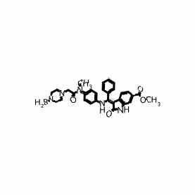 BN1CCN(CC(=O)N(C)c2ccc(N/C(=C3\C(=O)Nc4cc(C(=O)OC)ccc43)c3ccccc3)cc2)CC1